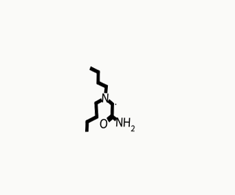 CCCCN([CH]C(N)=O)CCCC